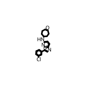 Clc1cccc(-c2cnc3ccc(NC4CCC5OC5CC4)nn23)c1